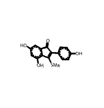 CSC1=C(c2ccc(O)cc2)C(=O)c2cc(O)cc(O)c21